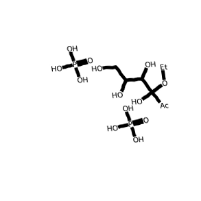 CCOC(O)(C(C)=O)C(O)C(O)CO.O=P(O)(O)O.O=P(O)(O)O